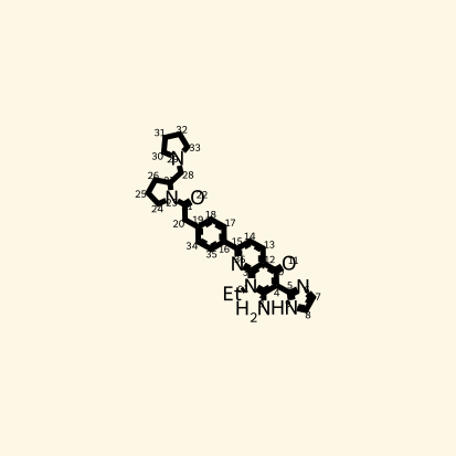 CCn1c(N)c(-c2ncc[nH]2)c(=O)c2ccc(-c3ccc(CC(=O)N4CCCC4CN4CCCC4)cc3)nc21